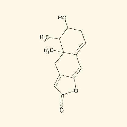 CC1C(O)CC=C2C=C3OC(=O)C=C3CC21C